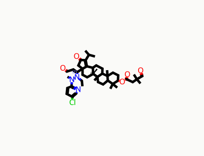 CCN(/C(=C\C=O)C12CC[C@]3(C)C(CCC4C5(C)CCC(OC(=O)CC(C)(C)C=O)C(C)(C)C5CCC43C)C1=C(C(C)C)C(=O)C2)N(C)c1ccc(Cl)cn1